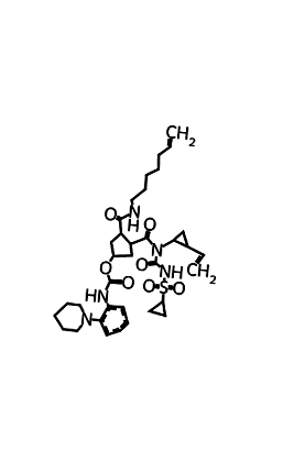 C=CCCCCCNC(=O)C1CC(OC(=O)Nc2ccccc2N2CCCCC2)CC1C(=O)N(C(=O)NS(=O)(=O)C1CC1)C1CC1C=C